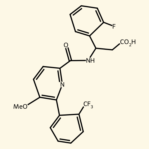 COc1ccc(C(=O)NC(CC(=O)O)c2ccccc2F)nc1-c1ccccc1C(F)(F)F